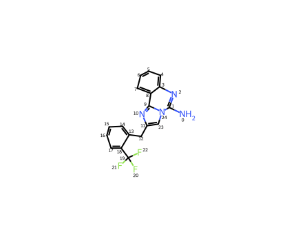 Nc1nc2ccccc2c2nc(Cc3ccccc3C(F)(F)F)cn12